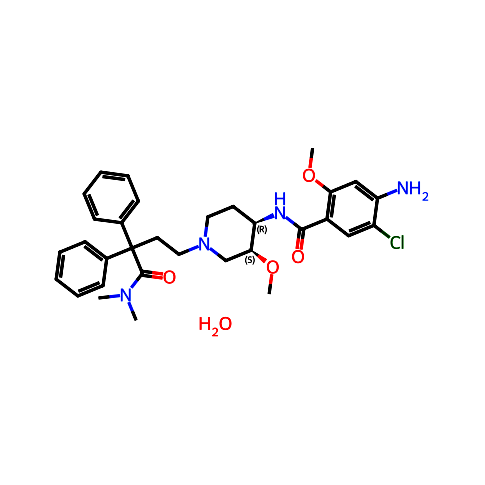 COc1cc(N)c(Cl)cc1C(=O)N[C@@H]1CCN(CCC(C(=O)N(C)C)(c2ccccc2)c2ccccc2)C[C@@H]1OC.O